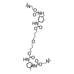 Cc1ccc(NC(=O)OCCCCOCCCCOC(=O)Nc2ccc(C)c(NC(=O)OCCN3CC3)c2)cc1NC(=O)OCCN1CC1